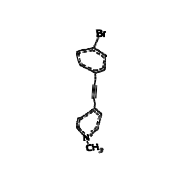 C[n+]1ccc(C#Cc2ccc(Br)cc2)cc1